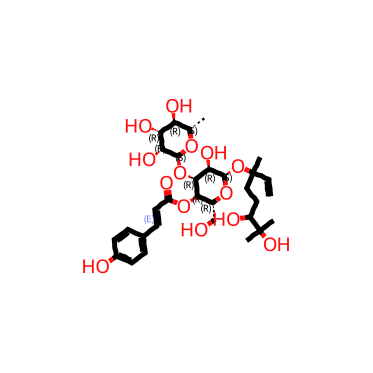 C=CC(C)(CCC(O)C(C)(C)O)O[C@@H]1O[C@H](CO)[C@@H](OC(=O)/C=C/c2ccc(O)cc2)[C@H](O[C@@H]2O[C@@H](C)[C@H](O)[C@@H](O)[C@H]2O)[C@H]1O